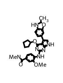 CNC(=O)c1ccc(Nc2nc(OC3CCCC3)c3c(-c4ccc5c(c4)OC(C)N5)c[nH]c3n2)c(OC)c1